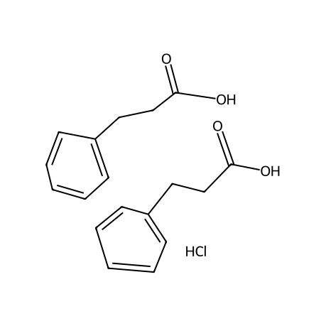 Cl.O=C(O)CCc1ccccc1.O=C(O)CCc1ccccc1